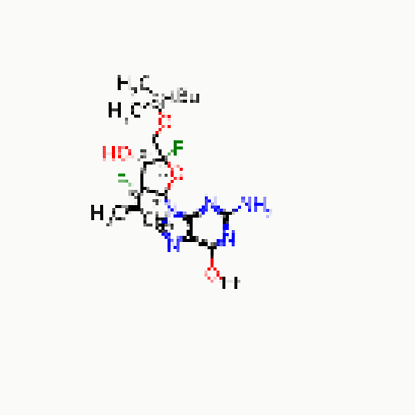 C=C(C)[C@]1(F)[C@H](n2cnc3c(OCC)nc(N)nc32)O[C@](F)(CO[Si](C)(C)C(C)(C)C)[C@H]1O